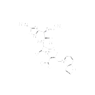 CO/N=C(\C(=O)NC1C(=O)N2C(C(=O)[O-])=C(C[n+]3cccc4occc43)CS[C@H]12)c1noc(N)n1